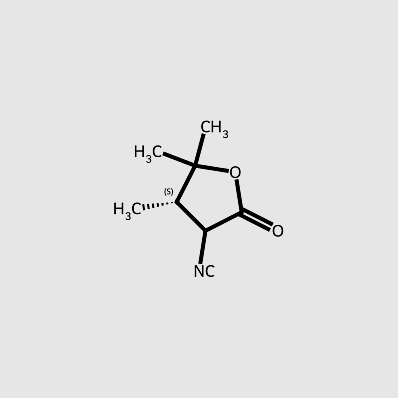 [C-]#[N+]C1C(=O)OC(C)(C)[C@H]1C